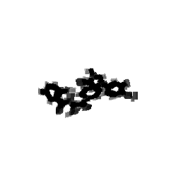 Cc1ccc(F)c(C(=O)N[C@@H](C(=O)N2CCC3(CC2)C(=O)N(C)CN3c2ccc(C(=O)O)c(Cl)c2)C(C)C)c1